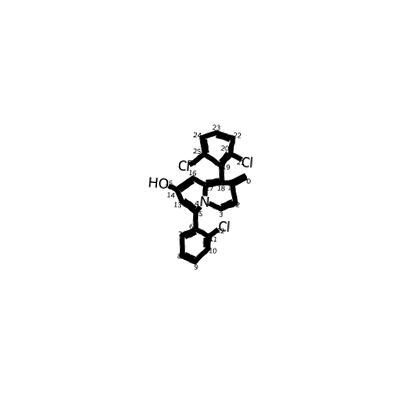 C=C1C=CN2C(c3ccccc3Cl)=CC(O)=CC2=C1c1c(Cl)cccc1Cl